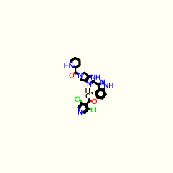 CC(Oc1ccc2[nH]nc(-c3nc4c([nH]3)CN(C(=O)[C@@H]3CCCCN3)C4)c2c1)c1c(Cl)cncc1Cl